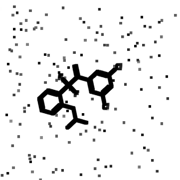 C=C(c1cc(Cl)cc(Cl)c1)C(F)(F)c1ccccc1CC(C)C